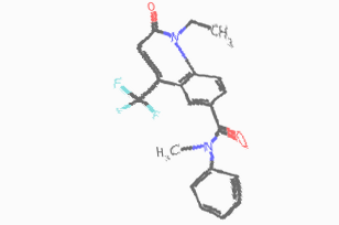 CCn1c(=O)cc(C(F)(F)F)c2cc(C(=O)N(C)c3ccccc3)ccc21